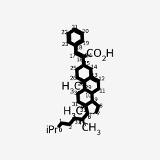 CC(C)CCC[C@@H](C)[C@H]1CCC2C3CC=C4CC(C(=Cc5ccccc5)C(=O)O)CC[C@]4(C)C3CC[C@@]21C